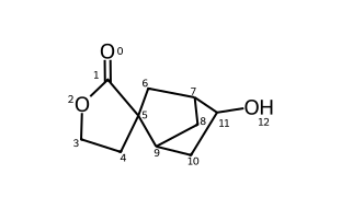 O=C1OCCC12CC1CC2CC1O